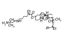 CC[C@H](CC[C@@H](C)[C@H]1CC[C@H]2[C@@H]3CC=C4C[C@@H](OC(=O)N(CC)CCCCNCCC(C)(C)N)CC[C@]4(C)[C@H]3CC[C@]12C)C(C)C